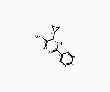 COC(=O)[C@@H](NC(=O)c1ccccc1)C1CC1